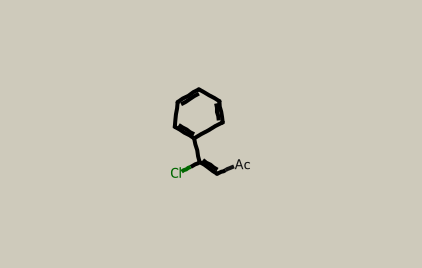 CC(=O)/C=C(/Cl)c1ccccc1